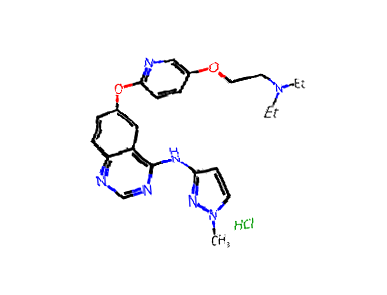 CCN(CC)CCOc1ccc(Oc2ccc3ncnc(Nc4ccn(C)n4)c3c2)nc1.Cl